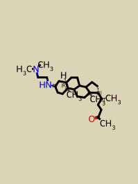 CC(=O)CC[C@@H](C)[C@H]1CCC2C3CC[C@@H]4C[C@H](NCCN(C)C)CC[C@]4(C)C3CC[C@@]21C